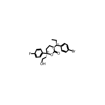 CC[C@@H](c1ccc(Br)cc1)N1CC[C@](CCO)(c2ccc(F)cc2)OC1=O